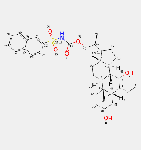 CC[C@H]1[C@@H](O)[C@@H]2[C@H](CC[C@]3(C)[C@@H]([C@H](C)COC(=O)NS(=O)(=O)c4ccc5ccccc5c4)CC[C@@H]23)[C@@]2(C)CC[C@@H](O)C[C@@H]12